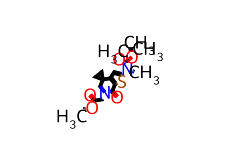 CCOC(=O)CN1CC2(CC2)c2cc(N(C)C(=O)OC(C)(C)C)sc2C1=O